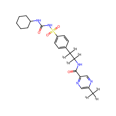 [2H]C([2H])([2H])c1cnc(C(=O)NC([2H])([2H])C([2H])([2H])c2ccc(S(=O)(=O)NC(=O)NC3CCCCC3)cc2)cn1